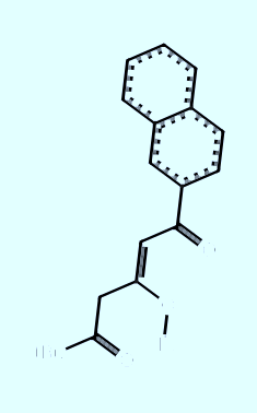 CCO/C(=C\C(=O)c1ccc2ccccc2c1)CC(=O)C(C)(C)C